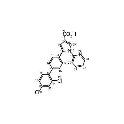 O=C(O)c1cc(-c2ccc(-c3ccc(Cl)cc3Cl)cc2)n(-c2ccccn2)n1